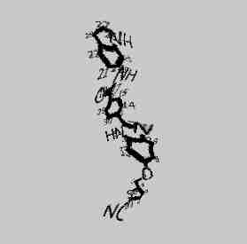 N#Cc1ccc(COc2ccc3nc(-c4ccc(C(=O)Nc5ccc6c(c5)NCC6)cc4)[nH]c3c2)s1